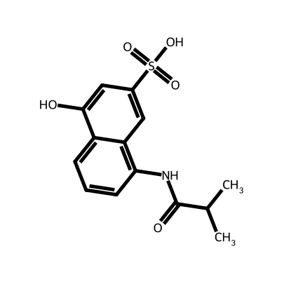 CC(C)C(=O)Nc1cccc2c(O)cc(S(=O)(=O)O)cc12